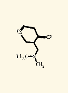 CN(C)CC1COCCC1=O